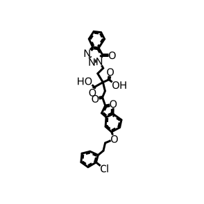 O=C(CC(CCn1nnc2ccccc2c1=O)(C(=O)O)C(=O)O)c1cc2cc(OCCc3ccccc3Cl)ccc2o1